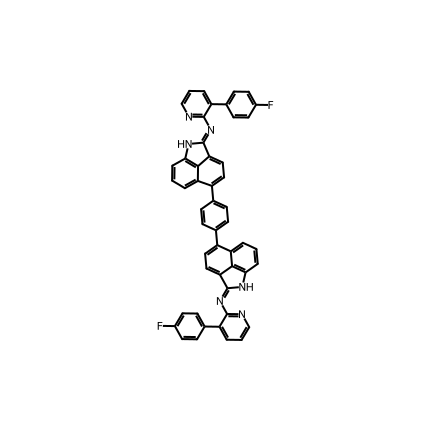 Fc1ccc(-c2cccnc2/N=C2\Nc3cccc4c(-c5ccc(-c6ccc7c8c(cccc68)N/C7=N\c6ncccc6-c6ccc(F)cc6)cc5)ccc2c34)cc1